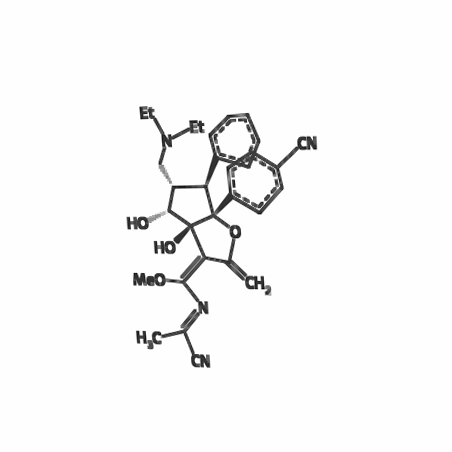 C=C1O[C@@]2(c3ccc(C#N)cc3)[C@H](c3ccccc3)[C@@H](CN(CC)CC)[C@@H](O)[C@@]2(O)/C1=C(/N=C(\C)C#N)OC